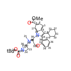 COC(=O)c1ccc2c(C3CCCCC3)c3n(c2c1)C[C@@H](N(C)[C@@H]1CCN(C(=O)OC(C)(C)C)C1)COc1ccccc1-3